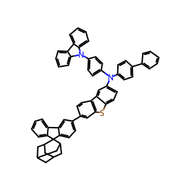 c1ccc(-c2ccc(N(c3ccc(-n4c5ccccc5c5ccccc54)cc3)c3ccc4sc5cc(-c6ccc7c(c6)-c6ccccc6C76C7CC8CC(C7)CC6C8)ccc5c4c3)cc2)cc1